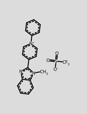 Cn1c(-c2cc[n+](-c3ccccc3)cc2)nc2ccccc21.O=S(=O)([O-])C(F)(F)F